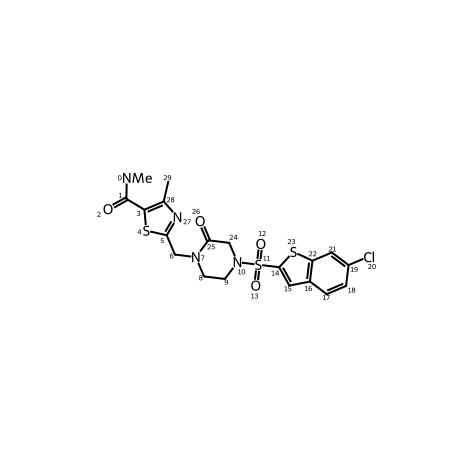 CNC(=O)c1sc(CN2CCN(S(=O)(=O)c3cc4ccc(Cl)cc4s3)CC2=O)nc1C